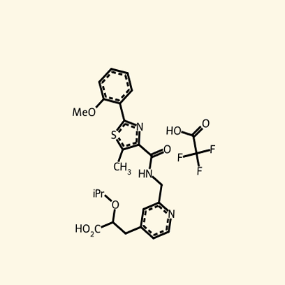 COc1ccccc1-c1nc(C(=O)NCc2cc(CC(OC(C)C)C(=O)O)ccn2)c(C)s1.O=C(O)C(F)(F)F